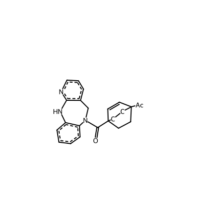 CC(=O)C12C=CC(C(=O)N3Cc4cccnc4Nc4ccccc43)(CC1)CC2